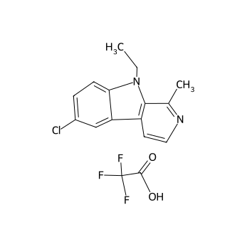 CCn1c2ccc(Cl)cc2c2ccnc(C)c21.O=C(O)C(F)(F)F